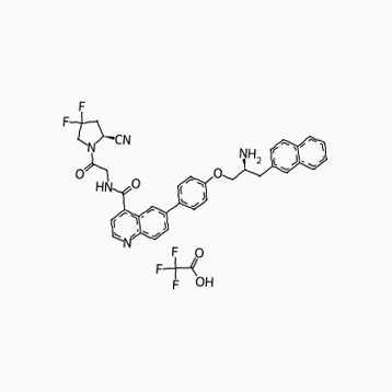 N#C[C@@H]1CC(F)(F)CN1C(=O)CNC(=O)c1ccnc2ccc(-c3ccc(OC[C@@H](N)Cc4ccc5ccccc5c4)cc3)cc12.O=C(O)C(F)(F)F